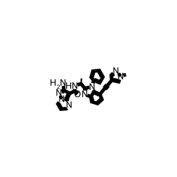 C[C@H](NC(=O)c1c(N)nn2cccnc12)c1nc2cccc(C#Cc3cnn(C)c3)c2n1-c1ccccc1